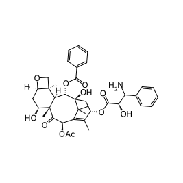 CC(=O)O[C@H]1C(=O)[C@@]2(C)[C@H]([C@H](OC(=O)c3ccccc3)[C@]3(O)C[C@H](OC(=O)[C@H](O)C(N)c4ccccc4)C(C)=C1C3(C)C)[C@]1(C)CO[C@@H]1C[C@@H]2O